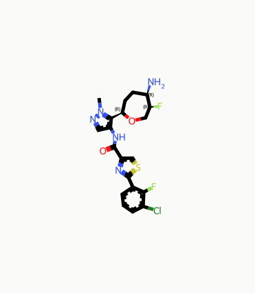 Cn1ncc(NC(=O)c2csc(-c3cccc(Cl)c3F)n2)c1[C@H]1CC[C@@H](N)[C@@H](F)CO1